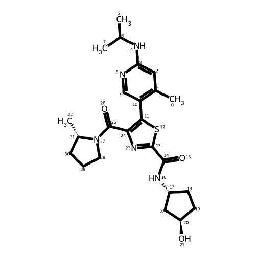 Cc1cc(NC(C)C)ncc1-c1sc(C(=O)N[C@@H]2CC[C@@H](O)C2)nc1C(=O)N1CCC[C@@H]1C